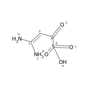 NC(N)=CC(=O)S(=O)(=O)O